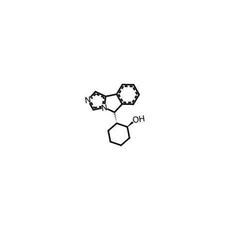 O[C@H]1CCCC[C@@H]1C1c2ccccc2-c2cncn21